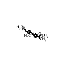 CC=C(C(=O)OC)c1ccc(COc2ccc(CC=NOC)cc2C)cc1